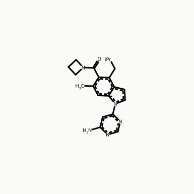 Cc1cc2c(ccn2-c2cc(N)ncn2)c(CC(C)C)c1C(=O)N1CCC1